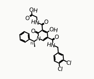 C[C@@H](c1ccccc1)n1cc(C(=O)NCc2ccc(Cl)c(Cl)c2)c(O)c(C(=O)NCC(=O)O)c1=O